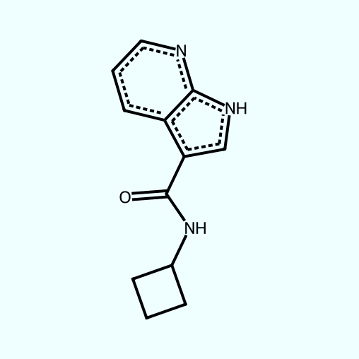 O=C(NC1CCC1)c1c[nH]c2ncccc12